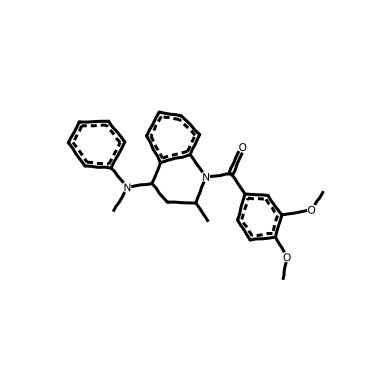 COc1ccc(C(=O)N2c3ccccc3C(N(C)c3ccccc3)CC2C)cc1OC